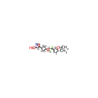 CC(C)Oc1cccc(C(F)(F)COc2ccc(-c3cc(O)no3)cc2)c1